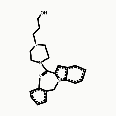 OCCCN1CCN(C2=Nc3ccccc3Cn3c2cc2ccccc23)CC1